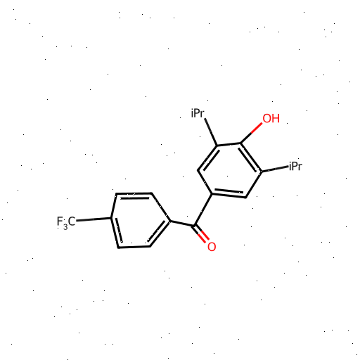 CC(C)c1cc(C(=O)c2ccc(C(F)(F)F)cc2)cc(C(C)C)c1O